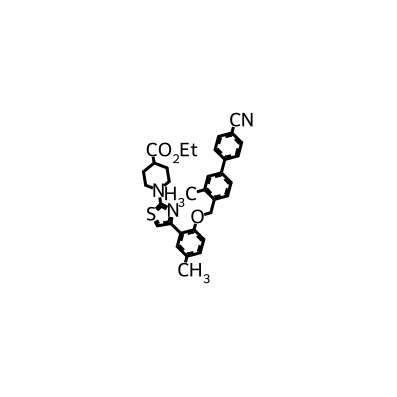 CCOC(=O)C1CCN(c2nc(-c3cc(C)ccc3OCc3ccc(-c4ccc(C#N)cc4)cc3C)cs2)CC1